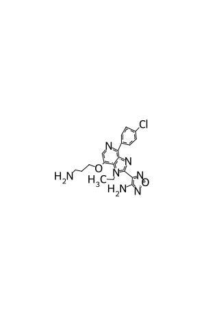 CCn1c(-c2nonc2N)nc2c(-c3ccc(Cl)cc3)ncc(OCCCN)c21